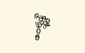 CCOC(=O)C1=C(CC(=O)N2CCN(C3CC4CCC(C3)N4C)CC2)NC(CCc2nccs2)=C(C(=O)OC)C1c1c(Cl)cccc1Cl